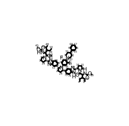 CCC(CC)C(NC(=O)OC)C(=O)N1CCC[C@H]1c1nc2cc([C@H]3CC[C@H](c4ccc5[nH]c([C@@H]6CCCN6C(=O)C(NC(=O)OC)C(CC)CC)nc5c4)N3c3cc(F)c(N4CCC(c5ccccc5)CC4)c(F)c3)ccc2[nH]1